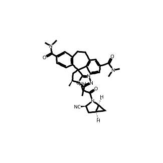 Cc1nnc(C2(C[C@H](C)NCC(=O)N3[C@H](C#N)C[C@@H]4C[C@@H]43)c3ccc(C(=O)N(C)C)cc3CCc3cc(C(=O)N(C)C)ccc32)o1